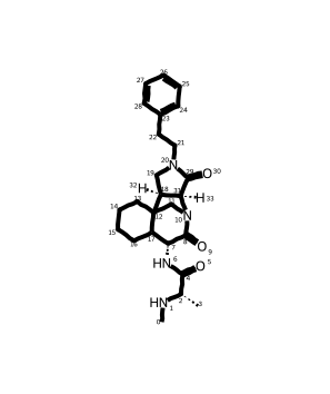 CN[C@@H](C)C(=O)N[C@H]1C(=O)N2CC3(CCCCC13)[C@H]1CN(CCc3ccccc3)C(=O)[C@H]12